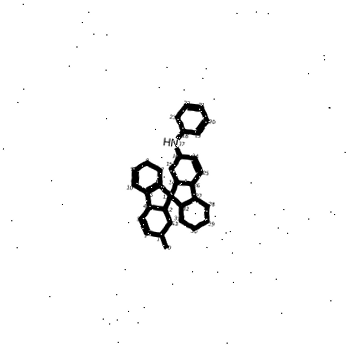 CC1C=CC2C3=C(CCC=C3)C3(C2C1)C1CC(NC2C=CC=CC2)C=CC1C1CCCCC13